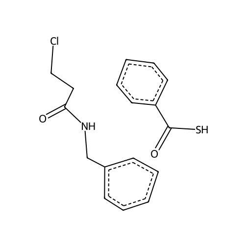 O=C(CCCl)NCc1ccccc1.O=C(S)c1ccccc1